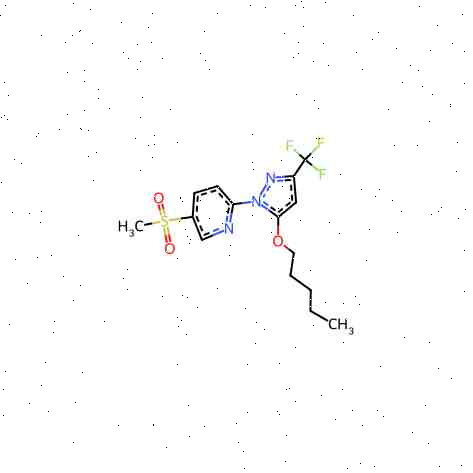 CCCCCOc1cc(C(F)(F)F)nn1-c1ccc(S(C)(=O)=O)cn1